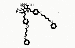 NC(O)C(CO)(CCc1ccc(OCCCCCOc2ccccc2)cc1)NC(CO)(CO)CCc1ccc(OCCCCOc2ccccc2)cc1